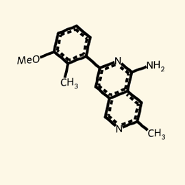 COc1cccc(-c2cc3cnc(C)cc3c(N)n2)c1C